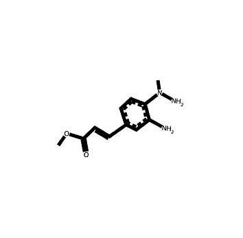 COC(=O)/C=C/c1ccc(N(C)N)c(N)c1